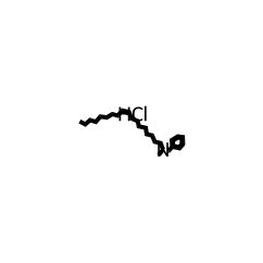 CCCCCCCC/C=C\CCCCCCCCN(C)Cc1ccccc1.Cl